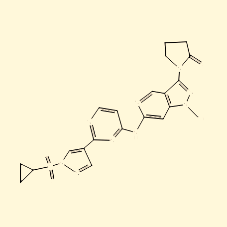 CC(C)n1nc(N2CCCC2=O)c2cnc(Nc3ccnc(-c4cnn(S(=O)(=O)C5CC5)c4)n3)cc21